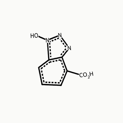 O=C(O)c1cccc2c1nnn2O